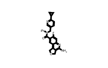 CC(C)N(Cc1ccc(C2CC2)nc1)C(=O)c1cc2c3c(c(N)nc2cc1F)COC3